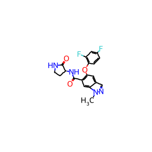 Cn1ncc2cc(Oc3ccc(F)cc3F)c(C(=O)N[C@H]3CCNC3=O)cc21